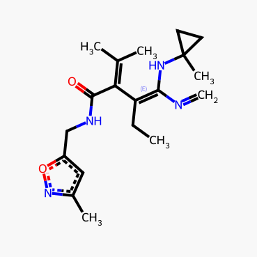 C=N/C(NC1(C)CC1)=C(\CC)C(C(=O)NCc1cc(C)no1)=C(C)C